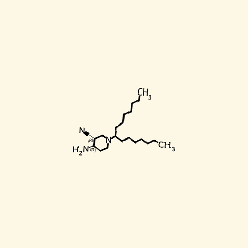 CCCCCCCC(CCCCCCC)N1CC[C@@H](N)[C@H](C#N)C1